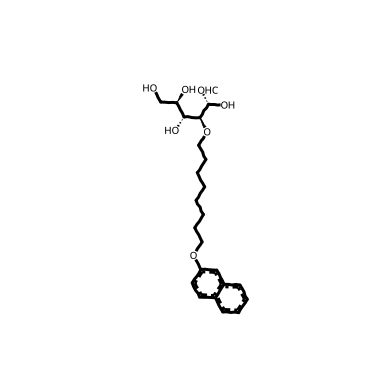 O=C[C@H](O)[C@@H](OCCCCCCCCOc1ccc2ccccc2c1)[C@H](O)[C@H](O)CO